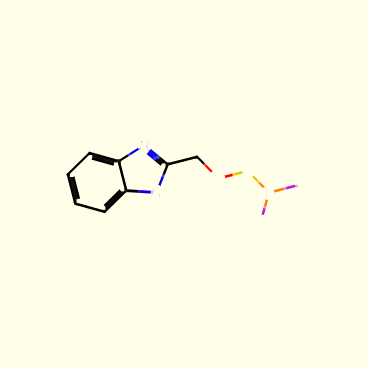 IP(I)SOCc1nc2ccccc2[nH]1